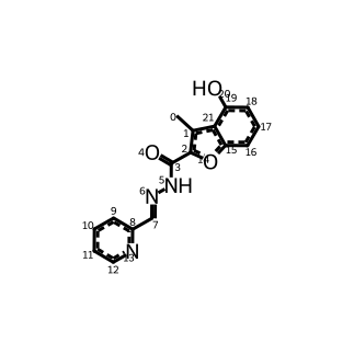 Cc1c(C(=O)N/N=C/c2ccccn2)oc2cccc(O)c12